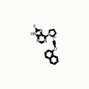 Fc1nc2c(N3CCC[C@@H]3C#COc3cccc4ccccc34)ncnc2[nH]1